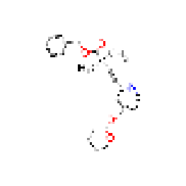 CC(C)(C#Cc1cc(COC2CCCCO2)ccn1)C(=O)OCc1ccccc1